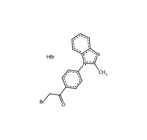 Br.Cc1nc2ccccc2n1-c1ccc(C(=O)CBr)cc1